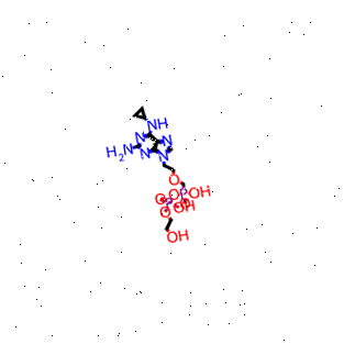 Nc1nc(NC2CC2)c2ncn(CCOCP(=O)(O)OP(=O)(O)OCCO)c2n1